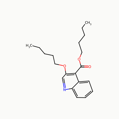 CCCCCOC(=O)c1c(OCCCCC)cnc2ccccc12